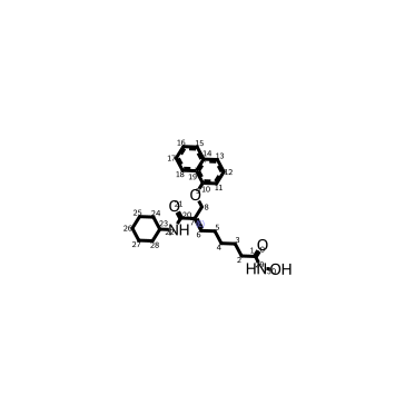 O=C(CCCC/C=C(\COc1cccc2ccccc12)C(=O)NC1CCCCC1)NO